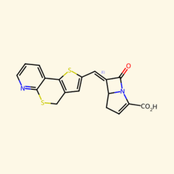 O=C(O)C1=CCC2/C(=C\c3cc4c(s3)-c3cccnc3SC4)C(=O)N12